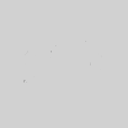 O=C(Cc1cccc(C(=O)NC2CC2)c1)NC[C@H]1CN(Cc2ccc(F)cc2)CCO1